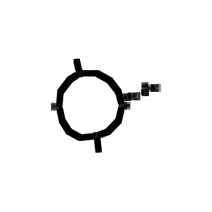 CN1CCCNCCN(C)CCCNCC1.Cl.Cl.Cl.Cl